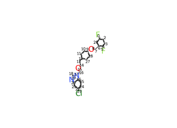 Fc1ccc(F)c(COc2ccc(CCOCn3cnc4cc(Cl)ccc43)cc2)c1